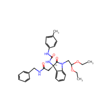 CCOC(CN1C(=O)[C@@](CC(=O)NCc2ccccc2)(NC(=O)Nc2ccc(C)cc2)c2ccccc21)OCC